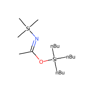 CCCC[Si](CCCC)(CCCC)OC(C)=N[Si](C)(C)C